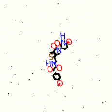 COc1ccc(C(=O)C(=O)NCc2scc3c2CN([C@H]2CCC(=O)NC2=O)C3=O)cc1